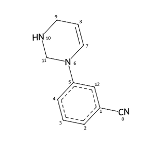 N#Cc1cccc(N2C=CCNC2)c1